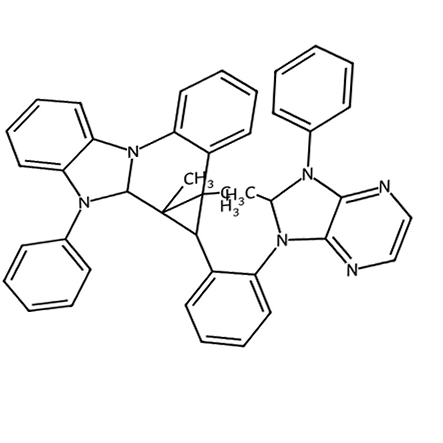 CC1N(c2ccccc2)c2nccnc2N1c1ccccc1C1C2(C)c3ccccc3N3c4ccccc4N(c4ccccc4)C3C12C